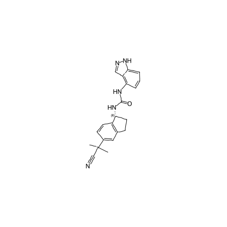 CC(C)(C#N)c1ccc2c(c1)CC[C@H]2NC(=O)Nc1cccc2[nH]ncc12